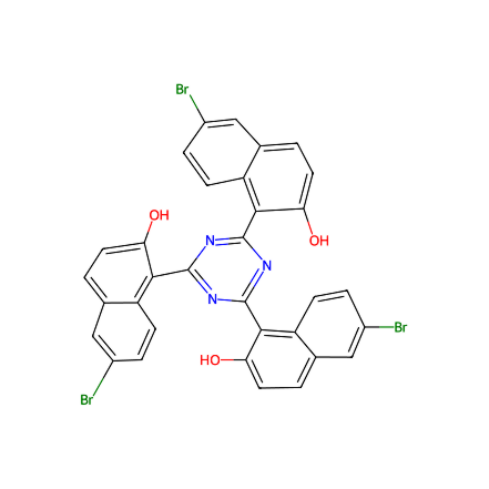 Oc1ccc2cc(Br)ccc2c1-c1nc(-c2c(O)ccc3cc(Br)ccc23)nc(-c2c(O)ccc3cc(Br)ccc23)n1